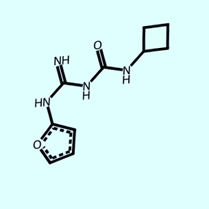 N=C(NC(=O)NC1CCC1)Nc1ccco1